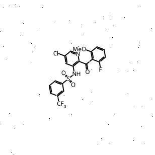 COc1cccc(F)c1C(=O)c1ncc(Cl)cc1NS(=O)(=O)c1cccc(C(F)(F)F)c1